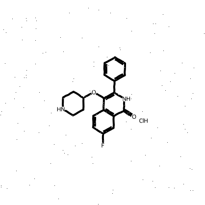 Cl.O=c1[nH]c(-c2ccccc2)c(OC2CCNCC2)c2ccc(F)cc12